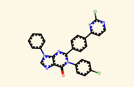 O=c1c2ncn(-c3ccccc3)c2nc(-c2ccc(-c3ccnc(Cl)n3)cc2)n1-c1ccc(Cl)cc1